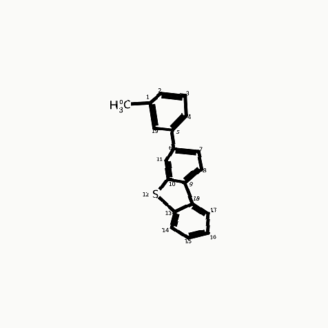 Cc1cccc(-c2ccc3c(c2)sc2ccccc23)c1